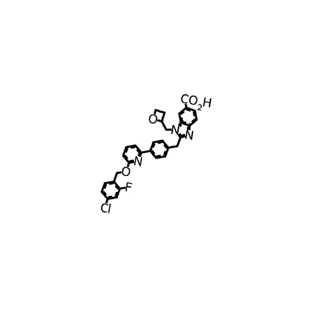 O=C(O)c1ccc2nc(Cc3ccc(-c4cccc(OCc5ccc(Cl)cc5F)n4)cc3)n(CC3CCO3)c2c1